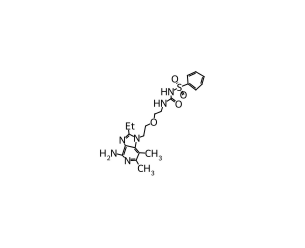 CCc1nc2c(N)nc(C)c(C)c2n1CCOCCNC(=O)NS(=O)(=O)c1ccccc1